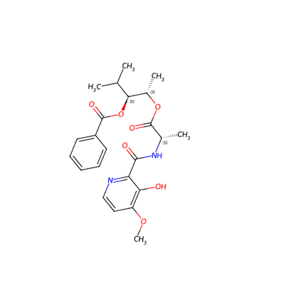 COc1ccnc(C(=O)N[C@@H](C)C(=O)O[C@@H](C)[C@@H](OC(=O)c2ccccc2)C(C)C)c1O